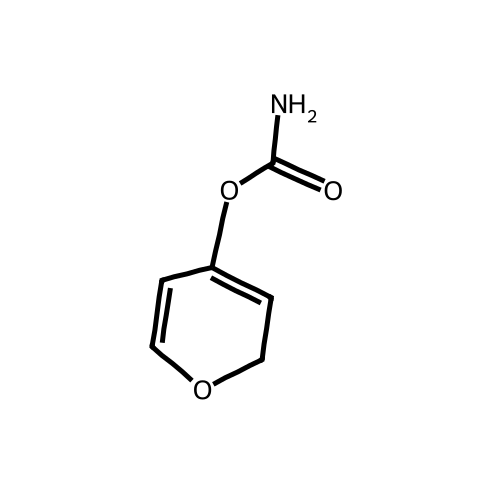 NC(=O)OC1=CCOC=C1